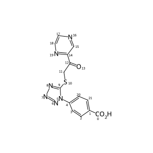 O=C(O)c1ccc(-n2nnnc2SCC(=O)c2cnccn2)cc1